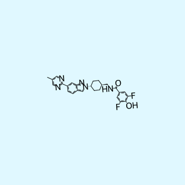 Cc1cnc(-c2ccc3cn([C@H]4CC[C@H](CNC(=O)c5cc(F)c(O)c(F)c5)CC4)nc3c2)nc1